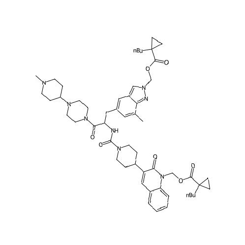 CCCCC1(C(=O)OCn2cc3cc(CC(NC(=O)N4CCC(c5cc6ccccc6n(COC(=O)C6(CCCC)CC6)c5=O)CC4)C(=O)N4CCN(C5CCN(C)CC5)CC4)cc(C)c3n2)CC1